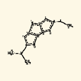 CCc1cc2sc3cc(C(C)C)sc3c2s1